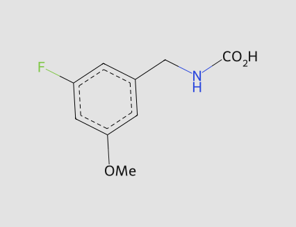 COc1cc(F)cc(CNC(=O)O)c1